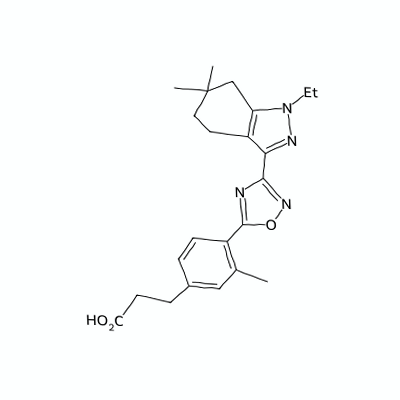 CCn1nc(-c2noc(-c3ccc(CCC(=O)O)cc3C)n2)c2c1CC(C)(C)CC2